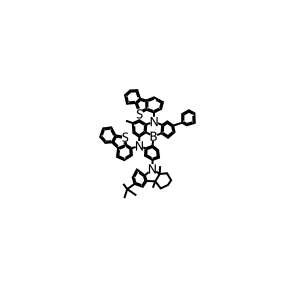 Cc1cc2c3c(c1)N(c1cccc4c1sc1ccccc14)c1cc(N4c5ccc(C(C)(C)C)cc5C5(C)CCCCC45C)ccc1B3c1ccc(-c3ccccc3)cc1N2c1cccc2c1sc1ccccc12